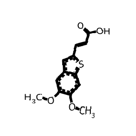 COc1cc2cc(C=CC(=O)O)sc2cc1OC